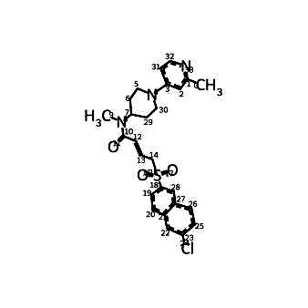 Cc1cc(N2CCC(N(C)C(=O)C=CCS(=O)(=O)c3ccc4cc(Cl)ccc4c3)CC2)ccn1